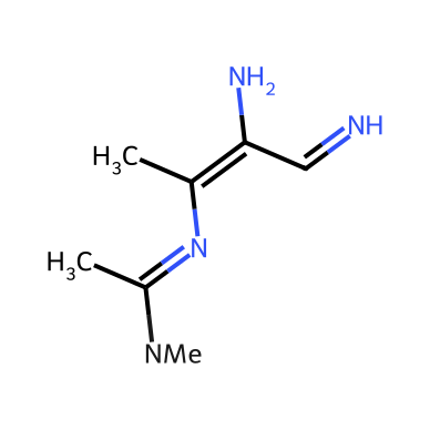 CN/C(C)=N/C(C)=C(/N)C=N